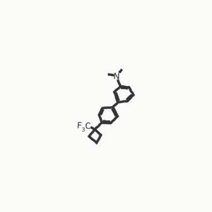 CN(C)c1cccc(-c2ccc(C3(C(F)(F)F)CCC3)cc2)c1